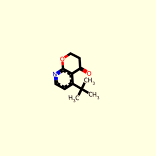 CC(C)(C)c1ccnc2c1C(=O)CCO2